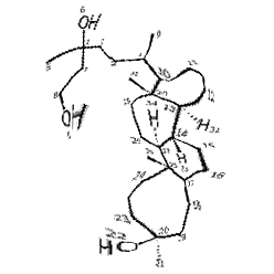 C[C@H](CCC(C)(O)CCO)[C@H]1CC[C@H]2[C@@H]3CCC4CC[C@@](C)(O)CC[C@]4(C)[C@H]3CC[C@]12C